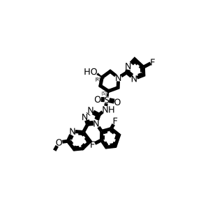 COc1cccc(-c2nnc(NS(=O)(=O)[C@H]3C[C@@H](O)CN(c4ncc(F)cn4)C3)n2-c2c(F)cccc2F)n1